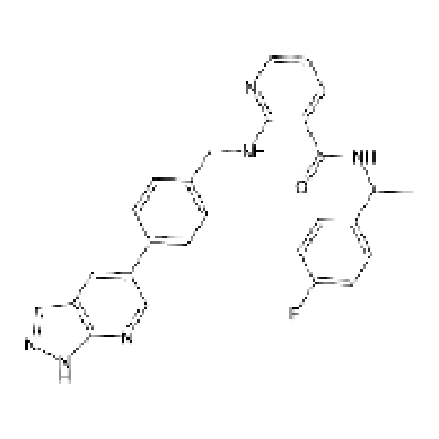 CC(NC(=O)c1cccnc1NCc1ccc(-c2cnc3[nH]ncc3c2)cc1)c1ccc(F)cc1